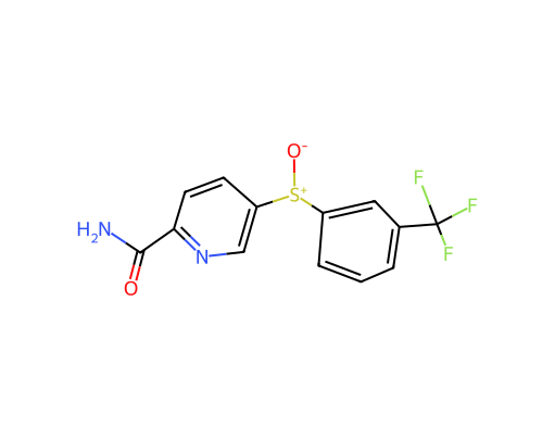 NC(=O)c1ccc([S+]([O-])c2cccc(C(F)(F)F)c2)cn1